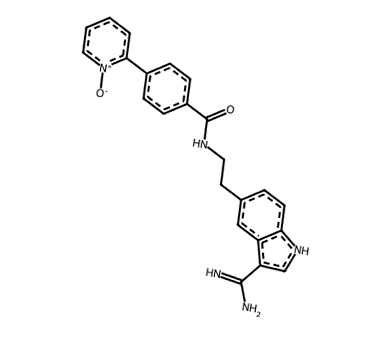 N=C(N)c1c[nH]c2ccc(CCNC(=O)c3ccc(-c4cccc[n+]4[O-])cc3)cc12